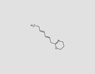 CCC=CC=CCC1=NCCCO1